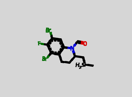 C[SiH2]CC1CCc2c(cc(Br)c(F)c2Br)N1C=O